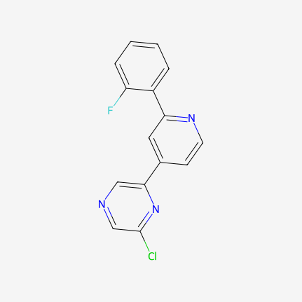 Fc1ccccc1-c1cc(-c2cncc(Cl)n2)ccn1